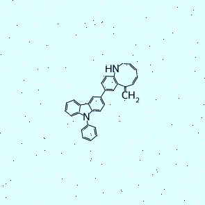 C=C1/C=C\C=C/CNc2ccc(-c3ccc4c(c3)c3ccccc3n4-c3ccccc3)cc21